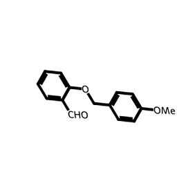 COc1ccc(COc2ccccc2C=O)cc1